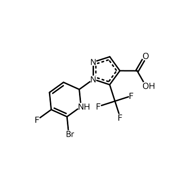 O=C(O)c1cnn(C2C=CC(F)=C(Br)N2)c1C(F)(F)F